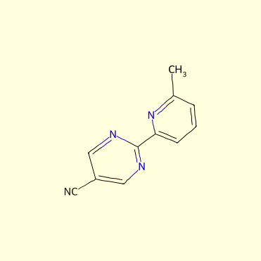 Cc1cccc(-c2ncc(C#N)cn2)n1